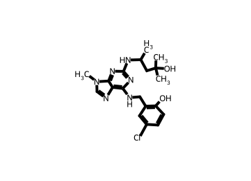 CC(CC(C)(C)O)Nc1nc(NCc2cc(Cl)ccc2O)c2ncn(C)c2n1